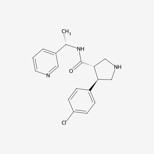 C[C@H](NC(=O)[C@@H]1CNC[C@H]1c1ccc(Cl)cc1)c1cccnc1